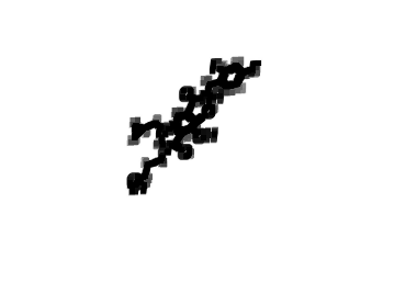 CC(C)OCCCN1CN(CC2CC2)n2cc(C(=O)NCc3ccc(F)cc3F)c(=O)c(O)c2C1=O